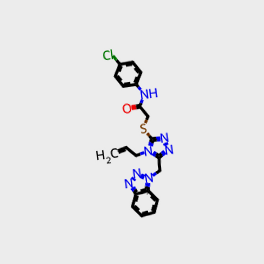 C=CCn1c(Cn2nnc3ccccc32)nnc1SCC(=O)Nc1ccc(Cl)cc1